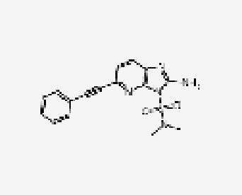 CN(C)S(=O)(=O)n1c(N)nc2ccc(C#Cc3ccccc3)nc21